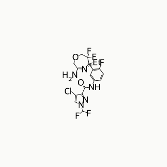 CC[C@]1(c2cc(NC(=O)c3nn(C(F)F)cc3Cl)ccc2F)N=C(N)COCC1(F)F